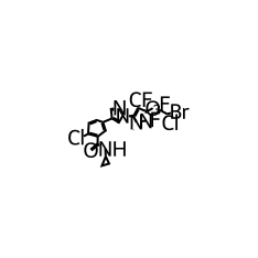 Cn1nc(OC(F)(F)C(Cl)Br)c(C(F)(F)F)c1-n1cc(-c2ccc(Cl)c(C(=O)NC3CC3)c2)cn1